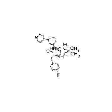 CC(C)(C)OC(=O)N[C@@H](Cc1ccc(F)cc1)C(=O)Nc1cccc(-c2ccncc2)c1